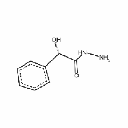 NNC(=O)[C@@H](O)c1ccccc1